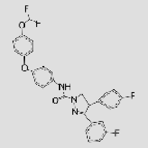 O=C(Nc1ccc(Oc2ccc(OC(F)F)cc2)cc1)N1CC(c2ccc(F)cc2)C(c2cccc(F)c2)=N1